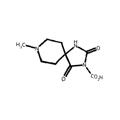 CN1CCC2(CC1)NC(=O)N(C(=O)O)C2=O